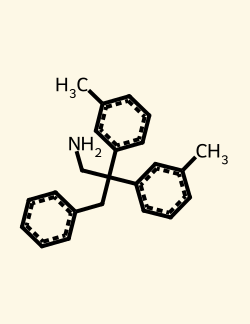 Cc1cccc(C(CN)(Cc2ccccc2)c2cccc(C)c2)c1